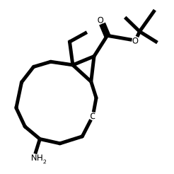 CCC12CCCCCC(N)CCCCC1C2C(=O)OC(C)(C)C